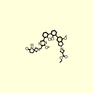 CCOC(=O)C1CN([C@@H]2Cc3cc(-c4cccc(-c5cccc(-c6cnc(CN7CC8(CCC(=O)N8)C7)c(OC)n6)c5Cl)c4Cl)cc(OC)c3C2)C1